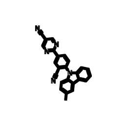 Cc1ccc2c(c1)c1ccccc1n2-c1ccc(-c2ncc(C#N)cn2)cc1C#N